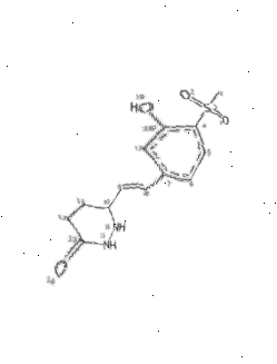 CS(=O)(=O)c1ccc(/C=C/C2CCC(=O)NN2)cc1O